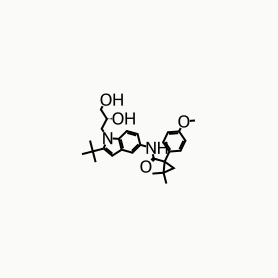 COc1ccc(C2(C(=O)Nc3ccc4c(c3)cc(C(C)(C)C)n4C[C@@H](O)CO)CC2(C)C)cc1